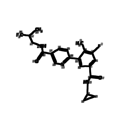 Cc1c(F)cc(C(=O)NC2CC2)cc1-c1ccc(C(=O)NCC(C)C(F)(F)F)cn1